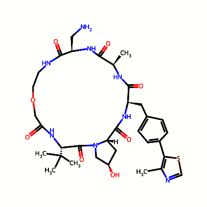 Cc1ncsc1-c1ccc(C[C@H]2NC(=O)[C@@H]3C[C@@H](O)CN3C(=O)[C@H](C(C)(C)C)NC(=O)COCCNC(=O)[C@@H](CN)NC(=O)[C@@H](C)NC2=O)cc1